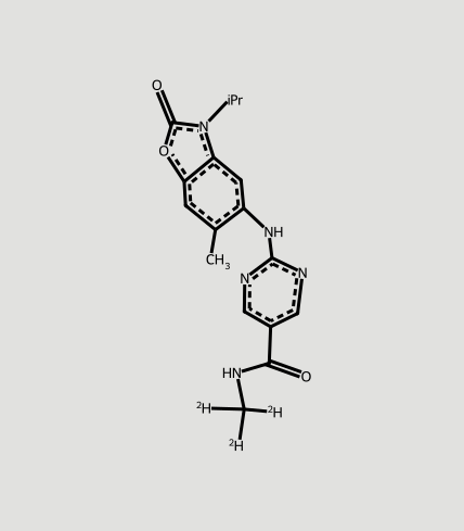 [2H]C([2H])([2H])NC(=O)c1cnc(Nc2cc3c(cc2C)oc(=O)n3C(C)C)nc1